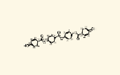 O=C(Oc1ccc(OC(=O)c2ccc(OC(=O)c3ccc(O)cc3)cc2)cc1)c1ccc(O)cc1